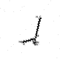 CCCCCCCCCCCCCCCC(=O)OC[C@H](COP(=O)(O)O)OC(=O)CCCCCCCC(=O)O